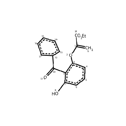 C=C(Oc1cccc(O)c1C(=O)c1ccccc1)C(=O)OCC